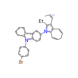 C/C=C\c1c2c(n(-c3ccc4c(c3)c3ccccc3n4-c3ccc(Br)cc3)c1CC)C=CCC=C2